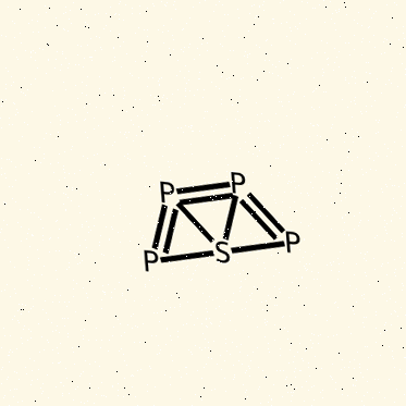 P1=P2=P3=PS123